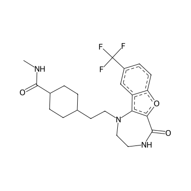 CNC(=O)C1CCC(CCN2CCNC(=O)c3oc4ccc(C(F)(F)F)cc4c32)CC1